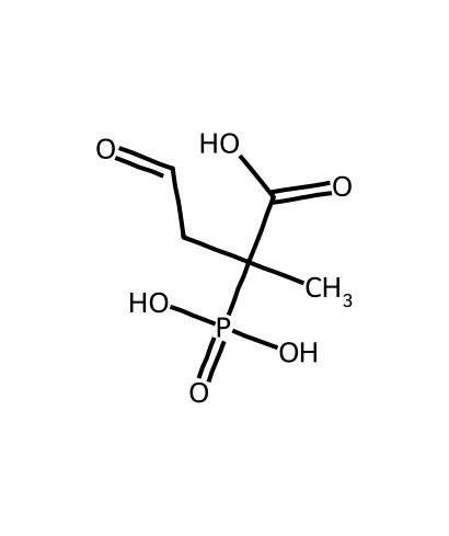 CC(CC=O)(C(=O)O)P(=O)(O)O